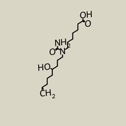 C=CCCCC(O)CCCN(CCCCCCC(=O)O)C(N)=O